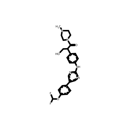 CN1CCN(C(=O)C(CO)c2ccc(Nc3ncc(-c4ccc(OC(F)F)cc4)cn3)cc2)CC1